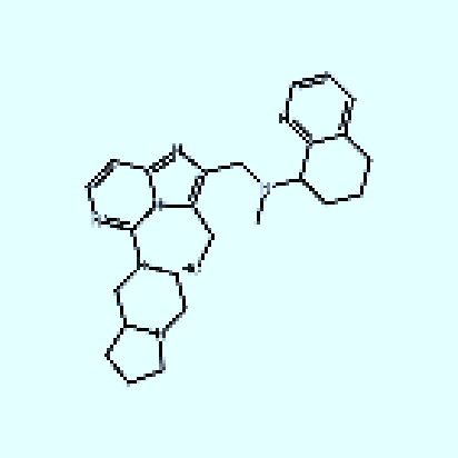 CN(Cc1nc2ccnc(N3CCN4CCCC4C3)n2c1CO)C1CCCc2cccnc21